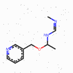 C/N=C\NC(C)OCc1cccnc1